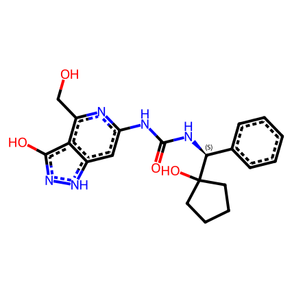 O=C(Nc1cc2[nH]nc(O)c2c(CO)n1)N[C@@H](c1ccccc1)C1(O)CCCC1